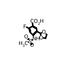 CS(=O)(=O)Nc1cc(F)c(C(=O)O)cc1C1OCCO1